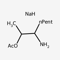 CCCCCC(N)C(C)OC(C)=O.[NaH]